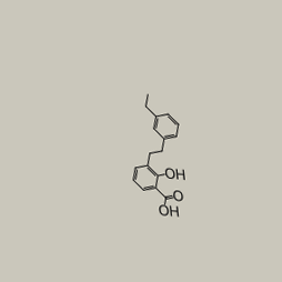 CCc1cccc(CCc2cccc(C(=O)O)c2O)c1